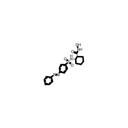 O=C(NO)[C@@H]1CCCC[C@@H]1NS(=O)(=O)c1ccc(N=Nc2ccccc2)cc1